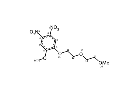 CCOc1cc([N+](=O)[O-])c([N+](=O)[O-])cc1OCCOCCOC